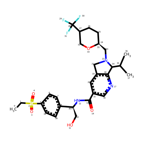 CCS(=O)(=O)c1ccc([C@H](CO)NC(=O)c2cnc3c(c2)CN(C[C@@H]2CCC(C(F)(F)F)CO2)C3C(C)C)cc1